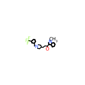 Cn1cc(C(=O)CCC2CCN(Cc3cccc(C(F)(F)F)c3)CC2)c2ccccc21